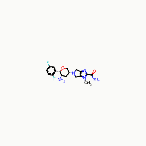 Cn1c(C(N)=O)nc2c1CN([C@H]1CO[C@@H](c3cc(F)ccc3F)[C@@H](N)C1)C2